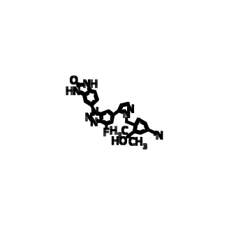 CC(C)(O)c1cc(C#N)ccc1Cn1nccc1-c1cc(F)c2nnn(-c3ccc4[nH]c(=O)[nH]c4c3)c2c1